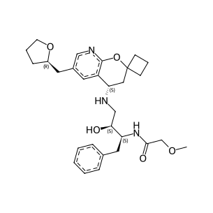 COCC(=O)N[C@@H](Cc1ccccc1)[C@@H](O)CN[C@H]1CC2(CCC2)Oc2ncc(C[C@H]3CCCO3)cc21